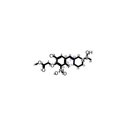 COC(=O)COc1c(Cl)cc(/C=C2\CCCN(B(C)O)C2)c(F)c1[N+](=O)[O-]